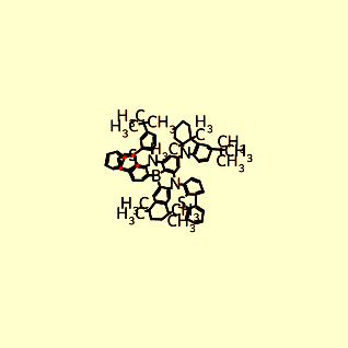 CC(C)(C)c1ccc(N2c3cc(N4c5ccc(C(C)(C)C)cc5C5(C)CCCCC45C)cc4c3B(c3cc5c(cc3N4c3cccc4c3sc3ccccc34)C(C)(C)CCC5(C)C)c3ccc4c(sc5ccccc54)c32)c(-c2ccccc2)c1